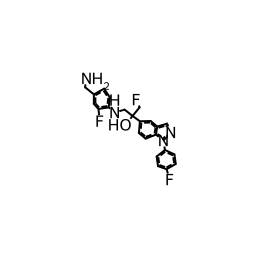 NCc1ccc(NCC(O)(CF)c2ccc3c(cnn3-c3ccc(F)cc3)c2)c(F)c1